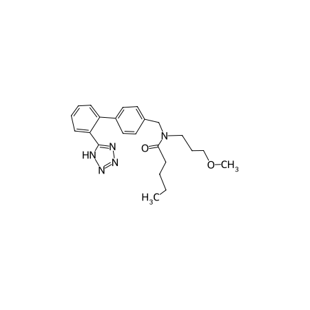 CCCCC(=O)N(CCCOC)Cc1ccc(-c2ccccc2-c2nnn[nH]2)cc1